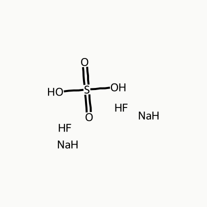 F.F.O=S(=O)(O)O.[NaH].[NaH]